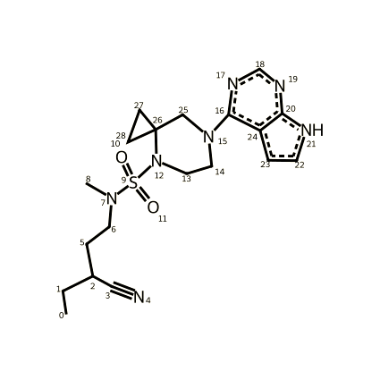 CCC(C#N)CCN(C)S(=O)(=O)N1CCN(c2ncnc3[nH]ccc23)CC12CC2